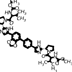 COC(=O)NC(C(=O)N1CCC[C@H]1c1ncc(-c2ccc(-c3ccc(-c4cnc([C@@H]5CCCN5C(=O)C(NC(=O)OC)C(C)C)[nH]4)c4c3OCO4)cc2)[nH]1)C(C)C